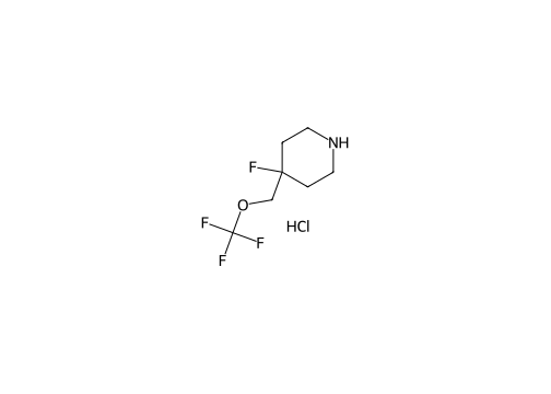 Cl.FC1(COC(F)(F)F)CCNCC1